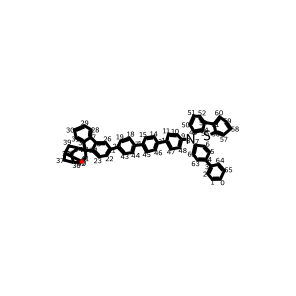 c1ccc(-c2ccc(N(c3ccc(-c4ccc(-c5ccc(-c6ccc7c(c6)-c6ccccc6C76C7CC8CC(C7)CC6C8)cc5)cc4)cc3)c3cccc4c3sc3ccccc34)cc2)cc1